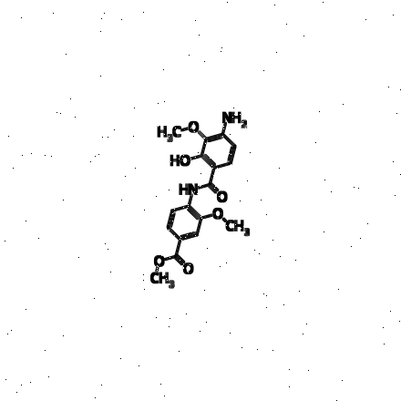 COC(=O)c1ccc(NC(=O)c2ccc(N)c(OC)c2O)c(OC)c1